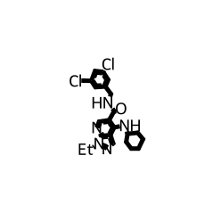 CCn1ncc2c(NC3CCCCC3)c(C(=O)NCc3cc(Cl)cc(Cl)c3)cnc21